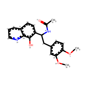 COc1ccc(CC(NC(C)=O)c2ccc3cccnc3c2O)cc1OC